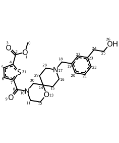 COC(=O)c1ccc(C(=O)N2CCOC3(CCN(Cc4cccc(CCO)c4)CC3)C2)s1